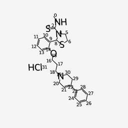 CNC(=S)N1CCSC1c1ccccc1OCCCN1CC=C(c2ccccc2)CC1.Cl